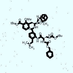 COc1c(C[C@H](NC(=O)c2ccc(CN(C)C)c(NC(=O)[C@H](CNC(=O)OC(C)(C)C)NC(=O)OCc3ccccc3)c2)B2OC3CC4CC(C4(C)C)C3(C)O2)cccc1C(=O)OC(C)(C)C